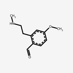 CNCCc1cc(OC)ccc1C=O